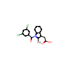 Cc1c(CC(=O)O)c2ccccc2n1C(=O)c1cc(Cl)cc(Cl)c1